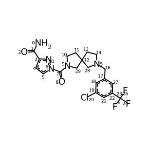 NC(=O)c1ccn(C(=O)N2CCC3(CCN(Cc4cc(Cl)cc(C(F)(F)F)c4)C3)C2)n1